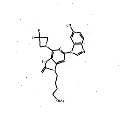 [C-]#[N+]c1ccc2ncn(-c3nc(N4CC(F)(F)C4)c4c(n3)N(CCCCOC)C(=C)N4)c2c1